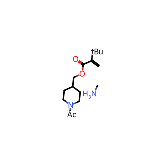 C=C(C(=O)OCC1CCN(C(C)=O)CC1)C(C)(C)C.CN